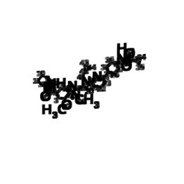 COc1cc(C(=O)N2CC3CCC2[C@@H]3N)cc2nc(-c3cc4ccc(-c5ccc(NS(=O)(=O)C6CC6)cc5)nc4n3CC3CC3)n(C)c12